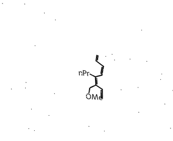 C=C/C=C\C(CCC)=C(/C=C)COC